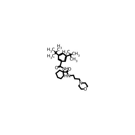 CC(C)(C)c1cc(C(=O)NC2(C(=O)NCCCN3CCOCC3)CCCCC2)cc(C(C)(C)C)c1